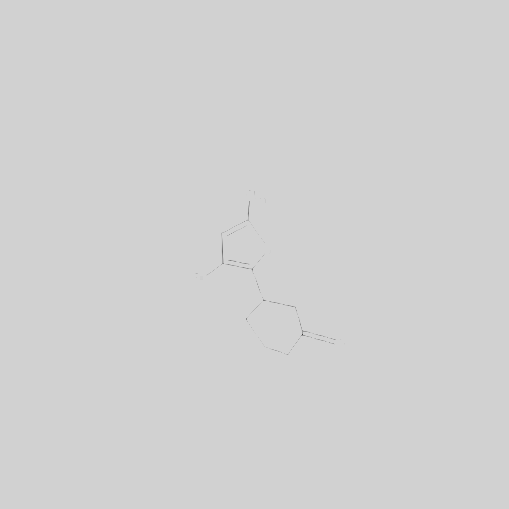 Cc1cc(Br)c(C2CCCC(=O)C2)s1